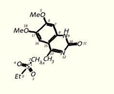 CCS(C)(=O)=O.COc1cc2[nH]c(=O)nc(C)c2cc1OC